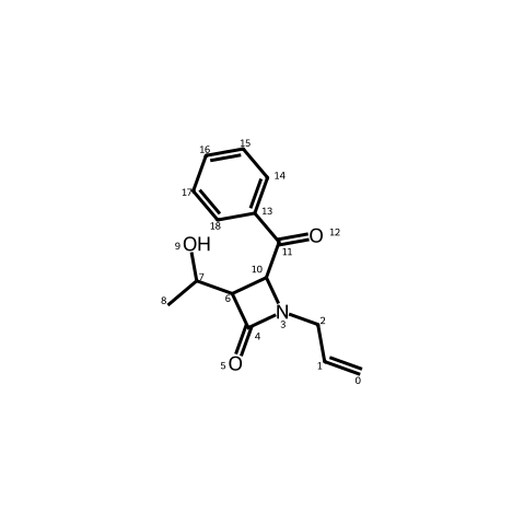 C=CCN1C(=O)C(C(C)O)C1C(=O)c1ccccc1